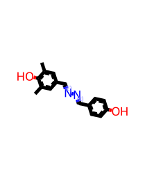 Cc1cc(/C=N/N=C/c2ccc(O)cc2)cc(C)c1O